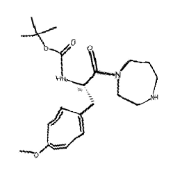 COc1ccc(C[C@H](NC(=O)OC(C)(C)C)C(=O)N2CCCNCC2)cc1